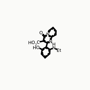 CCNc1cccc(O)c1-c1nc2ccccn2c(=O)c1C(=O)O